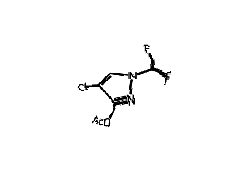 CC(=O)Oc1nn(C(F)F)cc1Cl